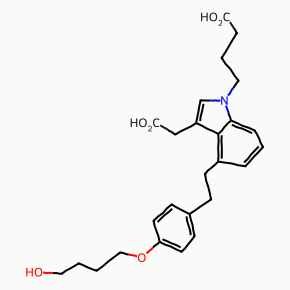 O=C(O)CCCn1cc(CC(=O)O)c2c(CCc3ccc(OCCCCO)cc3)cccc21